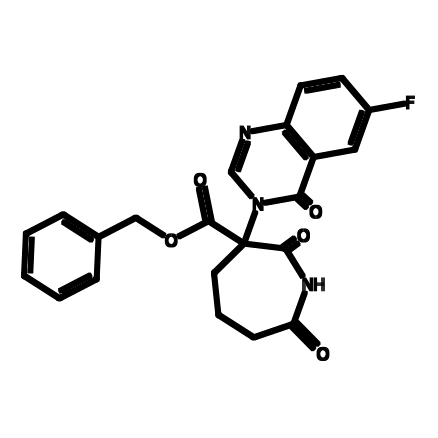 O=C1CCCC(C(=O)OCc2ccccc2)(n2cnc3ccc(F)cc3c2=O)C(=O)N1